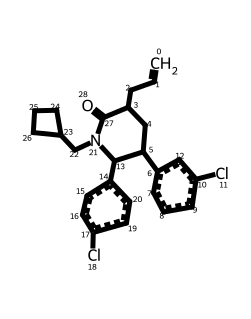 C=CCC1CC(c2cccc(Cl)c2)C(c2ccc(Cl)cc2)N(CC2CCC2)C1=O